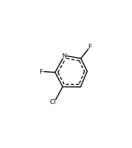 Fc1ccc(Cl)c(F)n1